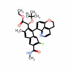 CCOC(=O)[C@@H](OC(C)(C)C)c1c(C)cc2cc(C(=O)NC)c(F)cc2c1-c1ccc2c3c(ccnc13)CCO2